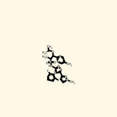 Cc1cnc(C(OC(C)C)C(C)S(=O)(=O)Nc2nnc(-c3ccn(C)n3)n2-c2c(F)cccc2F)nc1